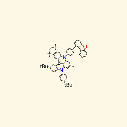 Cc1cc2c3c(c1)N(c1ccc(-c4cccc5oc6ccccc6c45)cc1)c1cc4c(cc1B3c1cc(C(C)(C)C)ccc1N2c1ccc(C(C)(C)C)cc1)C(C)(C)CCC4(C)C